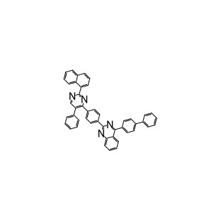 c1ccc(-c2ccc(-c3nc(-c4ccc(-c5nc(-c6cccc7ccccc67)ncc5-c5ccccc5)cc4)nc4ccccc34)cc2)cc1